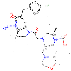 C[C@@H]1COCCN1C[C@H]1CN(C(=O)O)[C@H](C)CN1CC(=O)N1CC(C)(C)c2c1cc(Cc1ccc(F)cc1)c(=O)n2N